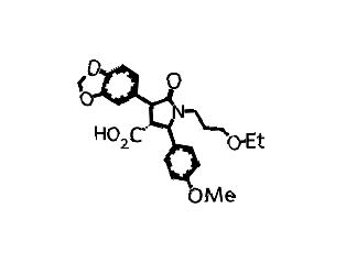 CCOCCCN1C(=O)C(c2ccc3c(c2)OCO3)[C@@H](C(=O)O)C1c1ccc(OC)cc1